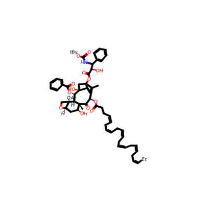 CC/C=C\C/C=C\C/C=C\C/C=C\C/C=C\C/C=C\CCC(=O)O[C@H]1C(=O)[C@@]2(C)[C@H]([C@H](OC(=O)c3ccccc3)[C@]3(O)CC4(OC(=O)[C@H](O)C(NC(=O)OC(C)(C)C)c5ccccc5)C(C)=C1[C@@]43C)[C@]1(OC(C)=O)CO[C@@H]1C[C@@H]2O